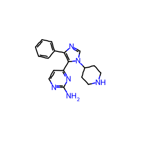 Nc1nccc(-c2c(-c3ccccc3)ncn2C2CCNCC2)n1